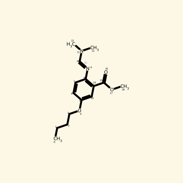 CCCCOc1ccc(/N=C/N(C)C)c(C(=O)OC)c1